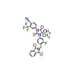 CC1(C)C(=O)N(c2ccc(C#N)c(C(F)(F)F)c2)C(=S)N1c1ccc(CN2C(=O)c3ccccc3C2=O)c(F)c1